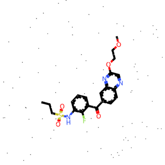 CCCS(=O)(=O)Nc1cccc(C(=O)c2ccc3ncc(OCCOC)nc3c2)c1F